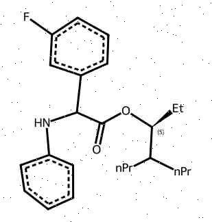 CCCC(CCC)[C@H](CC)OC(=O)C(Nc1ccccc1)c1cccc(F)c1